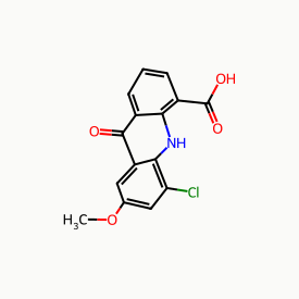 COc1cc(Cl)c2[nH]c3c(C(=O)O)cccc3c(=O)c2c1